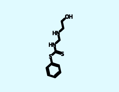 OCCNCNC(=S)Sc1ccccc1